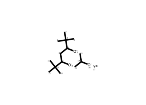 CC(C)(C)C([O-])CC([O-])C(C)(C)C.CC(C)[O-].[Y+3]